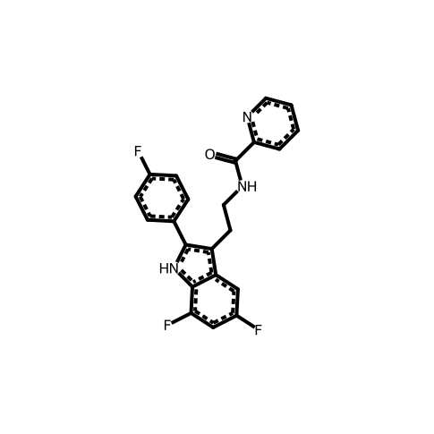 O=C(NCCc1c(-c2ccc(F)cc2)[nH]c2c(F)cc(F)cc12)c1ccccn1